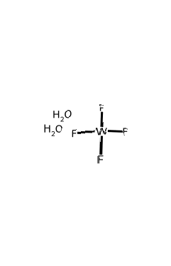 O.O.[F][W]([F])([F])[F]